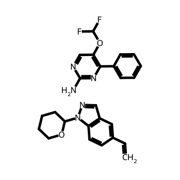 C=Cc1ccc2c(cnn2C2CCCCO2)c1.Nc1ncc(OC(F)F)c(-c2ccccc2)n1